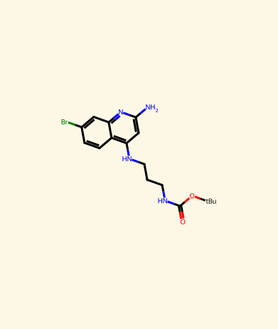 CC(C)(C)OC(=O)NCCCNc1cc(N)nc2cc(Br)ccc12